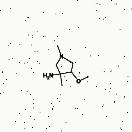 COC1CN(C)CC1(C)N